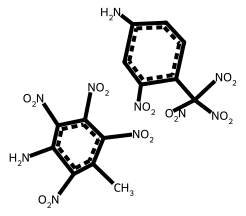 Cc1c([N+](=O)[O-])c(N)c([N+](=O)[O-])c([N+](=O)[O-])c1[N+](=O)[O-].Nc1ccc(C([N+](=O)[O-])([N+](=O)[O-])[N+](=O)[O-])c([N+](=O)[O-])c1